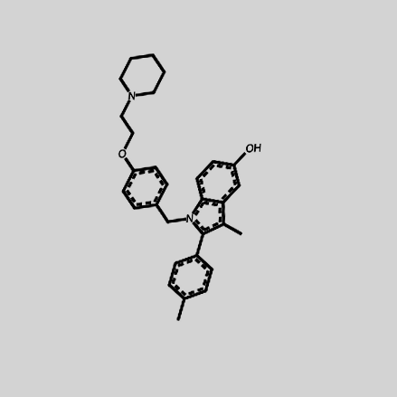 Cc1ccc(-c2c(C)c3cc(O)ccc3n2Cc2ccc(OCCN3CCCCC3)cc2)cc1